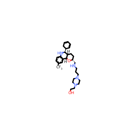 OCCN1CCN(CCCNC[C@H]2CC[C@@H]3[C@H](O2)c2cc(C(F)(F)F)ccc2N[C@H]3C2C=CC=CC2)CC1